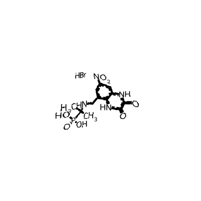 Br.CC(C)(NCc1cc([N+](=O)[O-])cc2[nH]c(=O)c(=O)[nH]c12)P(=O)(O)O